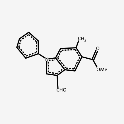 COC(=O)c1cc2c(C=O)cn(-c3ccccc3)c2cc1C